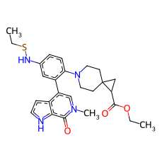 CCOC(=O)C1CC12CCN(c1ccc(NSCC)cc1-c1cn(C)c(=O)c3[nH]ccc13)CC2